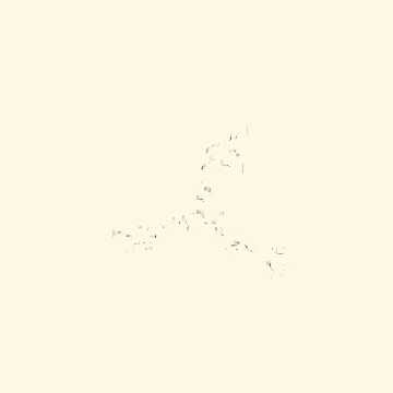 C[C@@H]1O[C@@H](OCCNC(=O)CN(CC(=O)NCCO[C@@H]2O[C@@H](C)[C@@H](O)[C@@H](O)[C@@H]2O)CC(=O)NCC(=O)OCc2ccccc2)[C@@H](O)[C@H](O)[C@@H]1O